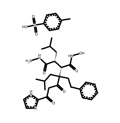 CC(C)C[C@@H](C(=O)NN)[C@H](C(=O)NO)C(CCc1ccccc1)(CC(C)C)C(=O)CC(=O)c1ncc[nH]1.Cc1ccc(S(=O)(=O)O)cc1